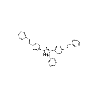 C(=C\c1ccc(-c2nc(-c3ccc(/C=C/c4ccccc4)cc3)n(-c3ccccc3)n2)cc1)/c1ccccc1